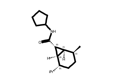 CC(C)[C@H]1CC[C@H](C)[C@@H]2[C@@H](C(=O)NC3CCCC3)[C@@H]21